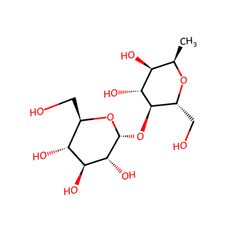 C[C@H]1O[C@H](CO)[C@@H](O[C@H]2O[C@H](CO)[C@@H](O)[C@H](O)[C@H]2O)[C@H](O)[C@H]1O